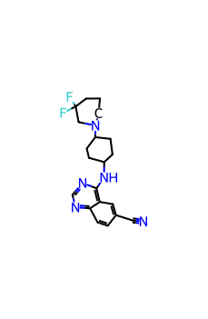 N#Cc1ccc2ncnc(NC3CCC(N4CCCC(F)(F)C4)CC3)c2c1